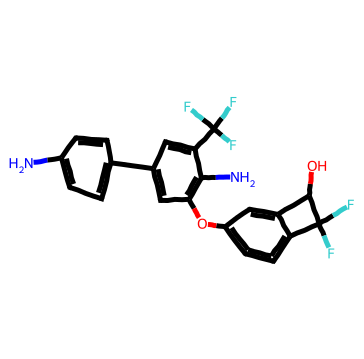 Nc1ccc(-c2cc(OC3=C=C=C4C(=C3)C(O)C4(F)F)c(N)c(C(F)(F)F)c2)cc1